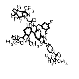 Cn1nc(NS(C)(=O)=O)c2cccc(-c3cc4sc(N5CCN(C(=O)C(C)(C)N)CC5)nc4nc3[C@H](Cc3cc(F)cc(F)c3)NC(=O)Cn3nc(C(F)(F)F)c4c3C(F)(F)[C@@H]3CC[C@H]43)c21